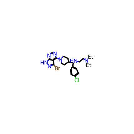 CCN(CC)CCNC(c1ccc(Cl)cc1)C1CCN(c2ncnc3[nH]nc(Br)c23)CC1